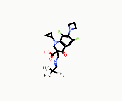 CC(C)(C)C=NCC1(C(=O)O)CN(C2CC2)c2c(cc(F)c(N3CCC3)c2F)C1=O